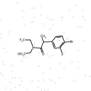 CC(C(=O)N(CC(=O)O)CC(F)(F)F)c1ccc(Br)c(F)c1